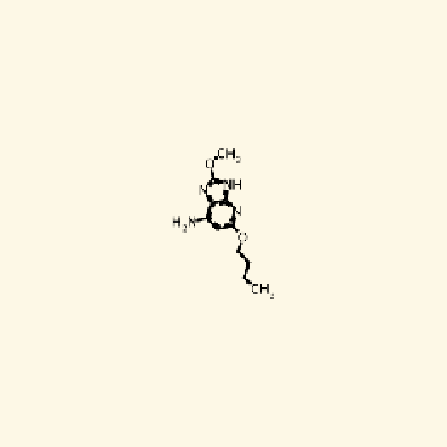 CCCCOc1cc(N)c2nc(OC)[nH]c2n1